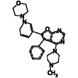 CN1CCN(c2ncnc3oc(C4=CN(N5CCOCC5)CC=C4)c(-c4ccccc4)c23)CC1